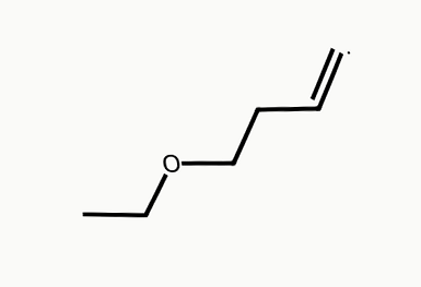 [CH]=CCCOCC